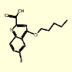 CCCCCOc1cc(C(=O)O)nc2ccc(F)cc12